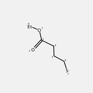 CCOC(=O)CCC[S]